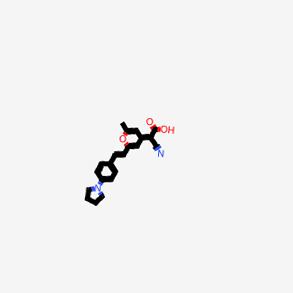 CC1=C/C(=C(/C#N)C(=O)O)C=C(/C=C/c2ccc(N3CCCC3)cc2)O1